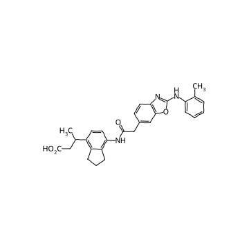 Cc1ccccc1Nc1nc2ccc(CC(=O)Nc3ccc(C(C)CC(=O)O)c4c3CCC4)cc2o1